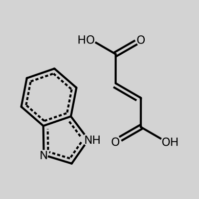 O=C(O)C=CC(=O)O.c1ccc2[nH]cnc2c1